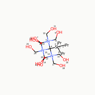 CC(C)[Si](C(C)C)(C(C)C)C([N+](CO)(CO)CO)([N+](CO)(CO)CO)[N+](CO)(CO)CO